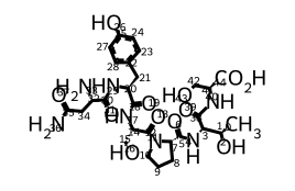 C[C@@H](O)[C@H](NC(=O)[C@@H]1CCCN1C(=O)[C@H](CO)NC(=O)[C@H](Cc1ccc(O)cc1)NC(=O)[C@@H](N)CC(N)=O)C(=O)N[C@@H](CO)C(=O)O